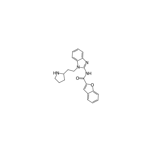 O=C(Nc1nc2ccccc2n1CCC1CCCN1)c1cc2ccccc2o1